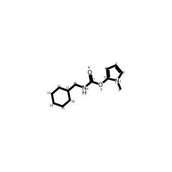 Cn1cccc1OC(=O)NCC1CCCCC1